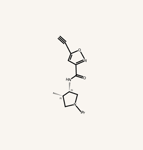 C#Cc1cc(C(=O)N[C@@H]2CN(C(C)C)C[C@@H]2C)no1